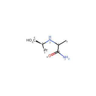 CC(N[C@H](C(=O)O)C(C)C)C(N)=O